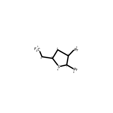 CC(C)C1CC(CC(F)(F)F)SC1C(C)C